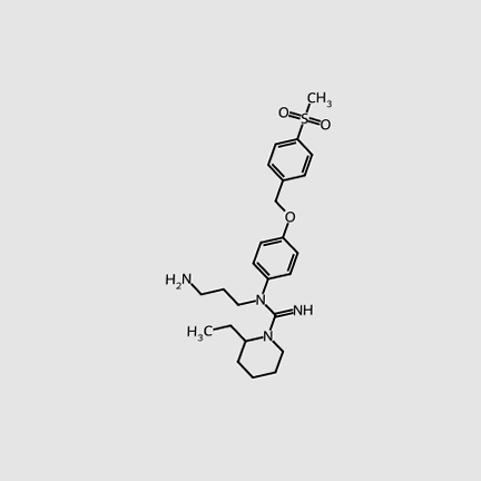 CCC1CCCCN1C(=N)N(CCCN)c1ccc(OCc2ccc(S(C)(=O)=O)cc2)cc1